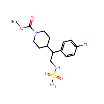 CC(C)(C)OC(=O)N1CCC(C(CNS(=O)(=O)C(F)(F)F)c2ccc(Cl)cc2)CC1